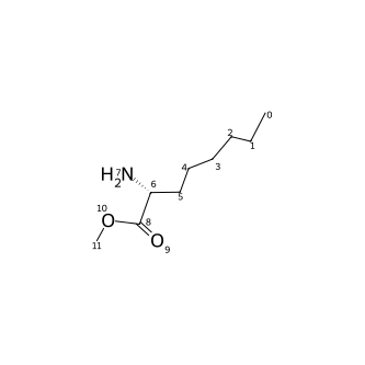 CCCCCC[C@@H](N)C(=O)OC